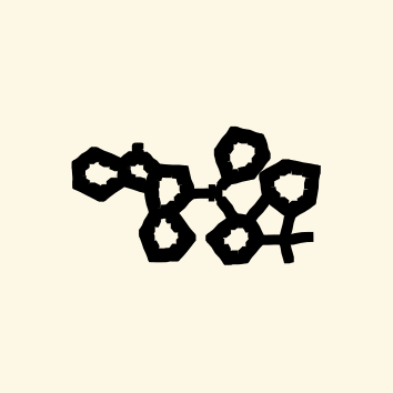 CC1(C)c2ccccc2-c2c(N(c3ccccc3)c3cc4sc5ccccc5c4c4ccccc34)cccc21